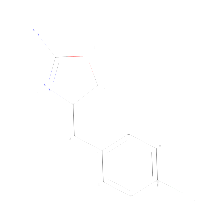 NC1=NC(Cc2ccc(F)cc2)CO1